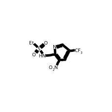 CCS(=O)(=O)Nc1ncc(C(F)(F)F)cc1[N+](=O)[O-]